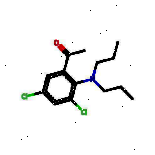 CCCN(CCC)c1c(Cl)cc(Cl)cc1C(C)=O